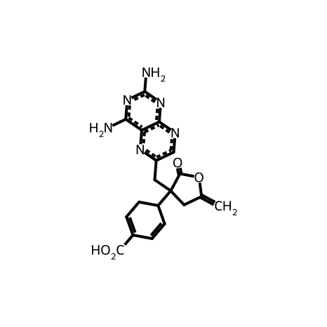 C=C1CC(Cc2cnc3nc(N)nc(N)c3n2)(C2C=CC(C(=O)O)=CC2)C(=O)O1